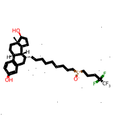 C[C@]12CC[C@@H]3c4ccc(O)cc4C[C@@H](CCCCCCCCC[S+]([O-])CCCC(F)(F)C(F)(F)F)[C@H]3C1CC[C@@H]2O